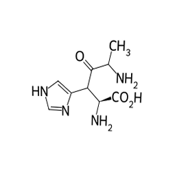 CC(N)C(=O)C(c1c[nH]cn1)[C@H](N)C(=O)O